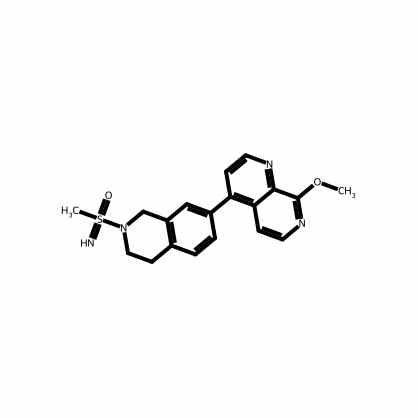 COc1nccc2c(-c3ccc4c(c3)CN(S(C)(=N)=O)CC4)ccnc12